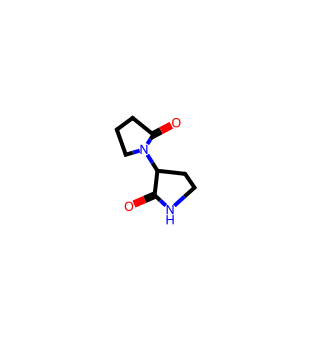 O=C1NCCC1N1CCCC1=O